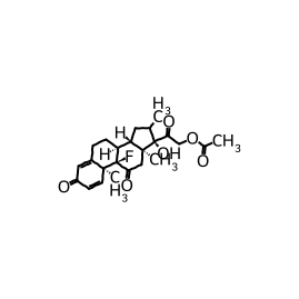 CC(=O)OCC(=O)[C@@]1(O)C(C)C[C@H]2[C@@H]3CCC4=CC(=O)C=C[C@]4(C)[C@@]3(F)C(=O)C[C@@]21C